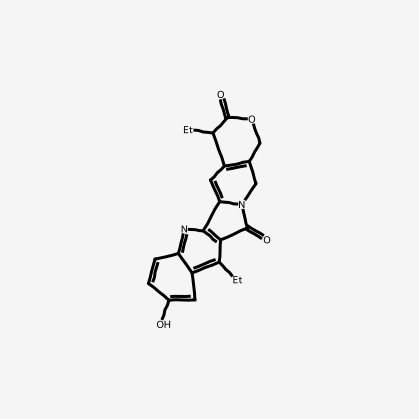 CCc1c2c(nc3ccc(O)cc13)C1=CC3=C(COC(=O)C3CC)CN1C2=O